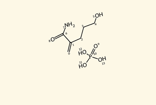 C=C(CCCO)C(N)=O.O=P(O)(O)O